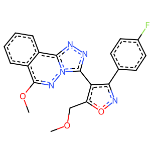 COCc1onc(-c2ccc(F)cc2)c1-c1nnc2c3ccccc3c(OC)nn12